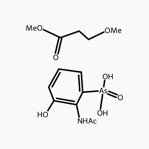 CC(=O)Nc1c(O)cccc1[As](=O)(O)O.COCCC(=O)OC